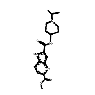 COC(=O)c1ccc2[nH]c(C(=O)NC3CCN(C(C)C)CC3)cc2n1